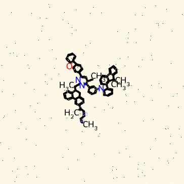 C=C(/C=C\C=C/C)c1ccc2c(c1)-c1ccccc1C(C(C)C1=NC(c3ccc4c(c3)oc3ccccc34)=CC(CC)C(c3cccc(-n4c5ccccc5c5c6c(ccc54)-c4ccccc4C6(C)C)c3)=N1)C2